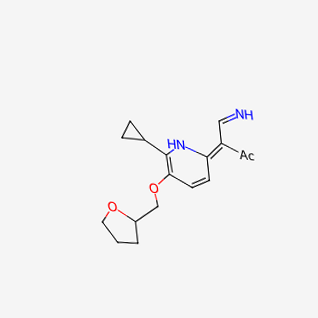 CC(=O)/C(C=N)=C1\C=CC(OCC2CCCO2)=C(C2CC2)N1